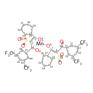 O=C(C1=C([O][Mn][O]C2=C(C(=O)c3cc(C(F)(F)F)cc(C(F)(F)F)c3)S(=O)(=O)c3ccccc32)c2ccccc2S1(=O)=O)c1cc(C(F)(F)F)cc(C(F)(F)F)c1